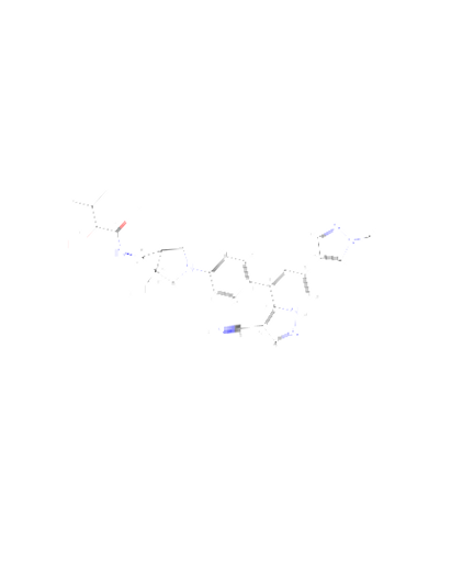 CC(C)C(O)C(=O)N[C@H]1C2CN(c3ccc(-c4cc(-c5cnn(C)c5)cn5ncc(C#N)c45)cc3)C[C@@H]21